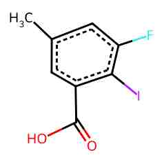 Cc1cc(F)c(I)c(C(=O)O)c1